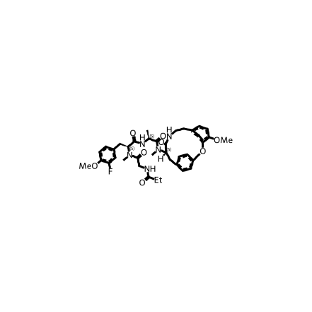 CCC(=O)NCC(=O)N(C)[C@@H](Cc1ccc(OC)c(F)c1)C(=O)N[C@@H](C)C(=O)N(C)[C@H]1Cc2ccc(cc2)Oc2cc(ccc2OC)CCNC1=O